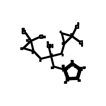 OC(CC1CC1(Cl)Cl)(CC1CC1(Cl)Cl)Cn1cncn1